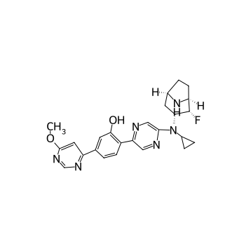 COc1cc(-c2ccc(-c3cnc(N(C4CC4)[C@@H]4C[C@H]5CC[C@H](N5)[C@@H]4F)cn3)c(O)c2)ncn1